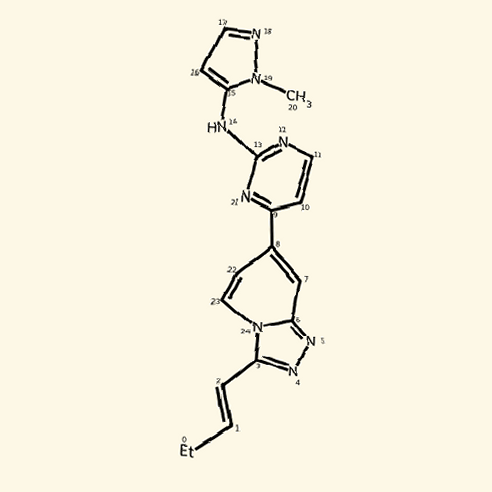 CC/C=C/c1nnc2cc(-c3ccnc(Nc4ccnn4C)n3)ccn12